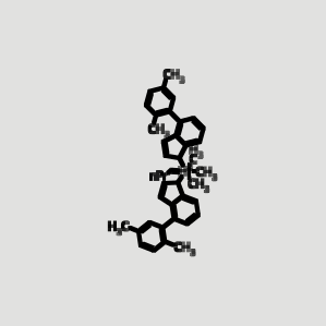 CCC[CH]=[Hf]([CH3])([CH3])([CH3])([CH]1C=Cc2c(-c3cc(C)ccc3C)cccc21)[CH]1C=Cc2c(-c3cc(C)ccc3C)cccc21